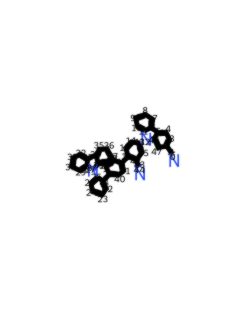 N#Cc1ccc2c3ccccc3n(-c3ccc(-c4ccc(-c5ccccc5-n5c6ccccc6c6ccccc65)cc4)c(C#N)c3)c2c1